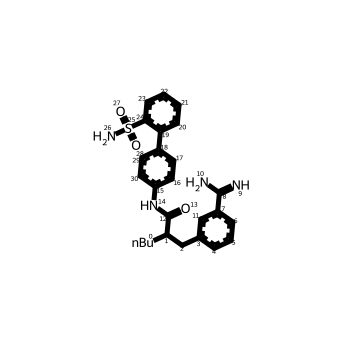 CCCCC(Cc1cccc(C(=N)N)c1)C(=O)Nc1ccc(-c2ccccc2S(N)(=O)=O)cc1